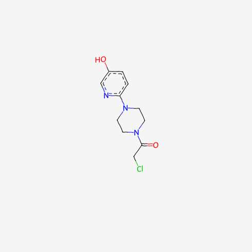 O=C(CCl)N1CCN(c2ccc(O)cn2)CC1